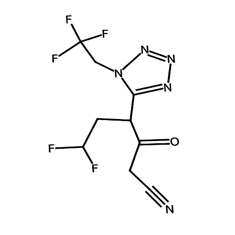 N#CCC(=O)C(CC(F)F)c1nnnn1CC(F)(F)F